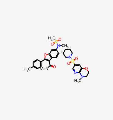 CNC(=O)c1c(-c2ccc(C)cc2)oc2cc(N(C)S(C)(=O)=O)c([C@@H]3CCCN(S(=O)(=O)c4cnc5c(c4)OCCN5C)C3)cc12